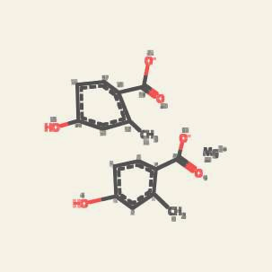 Cc1cc(O)ccc1C(=O)[O-].Cc1cc(O)ccc1C(=O)[O-].[Mg+2]